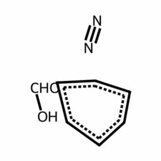 N#N.O=CO.c1ccccc1